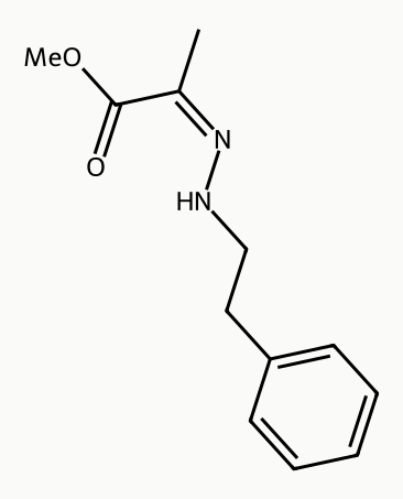 COC(=O)C(C)=NNCCc1ccccc1